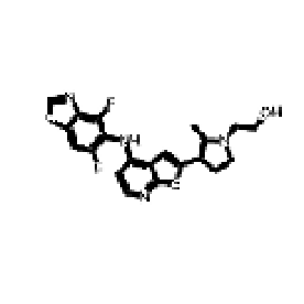 CC1C(c2cc3c(Nc4c(F)cc5scnc5c4F)ccnc3s2)CCN1CCO